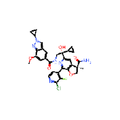 COc1cc(C(=O)NC[C@](O)(c2cc3c(c(-c4ccnc(Cl)c4F)n2)OC[C@]3(C)C(N)=O)C2CC2)cc2cn(C3CC3)nc12